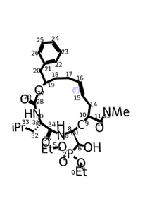 CCOP(=O)(OCC)C(O)[C@@H]1CC(C(=O)NC)C/C=C/CCC(Cc2ccccc2)OC(=O)N[C@@H](CC(C)C)C(=O)N1